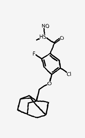 C[SH](N=O)C(=O)c1cc(Cl)c(OCC23CC4CC(CC(C4)C2)C3)cc1F